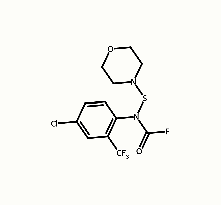 O=C(F)N(SN1CCOCC1)c1ccc(Cl)cc1C(F)(F)F